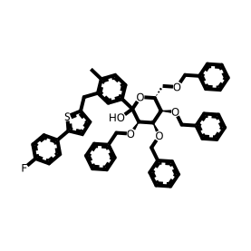 Cc1ccc(C2(O)O[C@H](COCc3ccccc3)[C@@H](OCc3ccccc3)[C@@H](OCc3ccccc3)[C@H]2OCc2ccccc2)cc1Cc1ccc(-c2ccc(F)cc2)s1